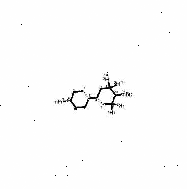 [2H]C1([2H])C[C@H]([C@H]2CC[C@H](CCC)CC2)CC([2H])([2H])[C@H]1CCCC